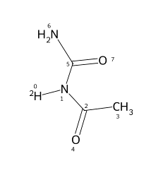 [2H]N(C(C)=O)C(N)=O